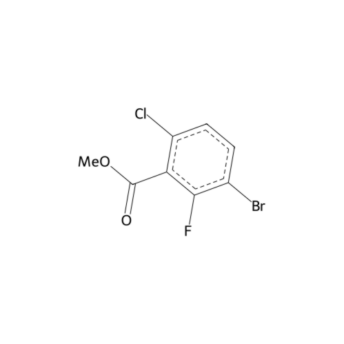 COC(=O)c1c(Cl)ccc(Br)c1F